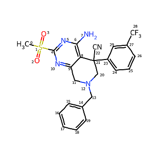 CS(=O)(=O)c1nc(N)c2c(n1)CN(Cc1ccccc1)CC2(C#N)c1cccc(C(F)(F)F)c1